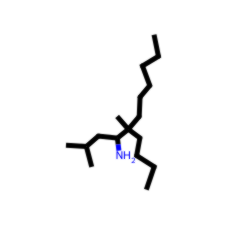 CCCCCCC(C)(CCCC)C(N)CC(C)C